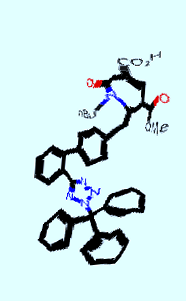 CCCCn1c(Cc2ccc(-c3ccccc3-c3nnn(C(c4ccccc4)(c4ccccc4)c4ccccc4)n3)cc2)c(C(=O)OC)cc(C(=O)O)c1=O